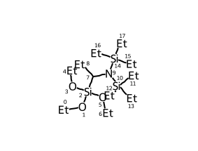 CCO[Si](OCC)(OCC)C(CC)N([Si](CC)(CC)CC)[Si](CC)(CC)CC